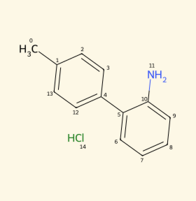 Cc1ccc(-c2ccccc2N)cc1.Cl